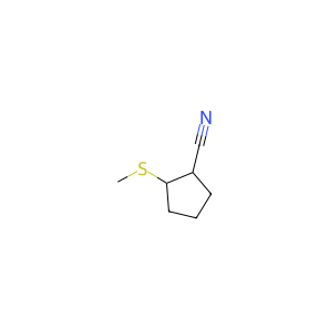 CSC1CCCC1C#N